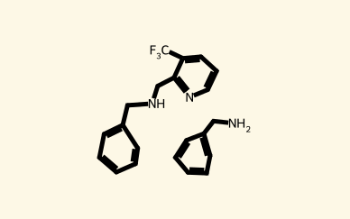 FC(F)(F)c1cccnc1CNCc1ccccc1.NCc1ccccc1